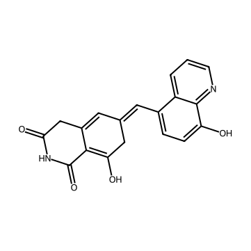 O=C1CC2=CC(=Cc3ccc(O)c4ncccc34)CC(O)=C2C(=O)N1